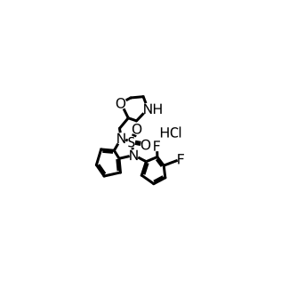 Cl.O=S1(=O)N(CC2CNCCO2)c2ccccc2N1c1cccc(F)c1F